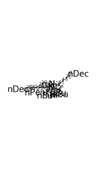 CCCCCCCCCCCCCCCCc1cccc(C2=C(CCCC)C(CCCCC)=C(c3cccc(CCCCCCCCCCCCCCCC)c3)[N+]2=[N-])c1.CCC[CH2][Ni][CH2]CCC